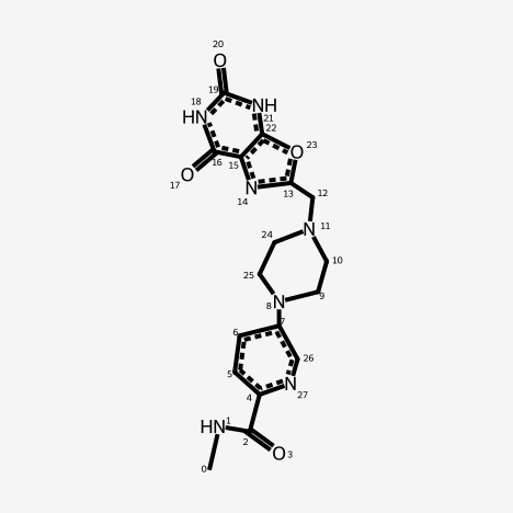 CNC(=O)c1ccc(N2CCN(Cc3nc4c(=O)[nH]c(=O)[nH]c4o3)CC2)cn1